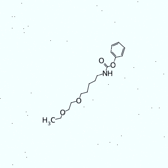 CCOCCOCCCCCNC(=O)Oc1ccccc1